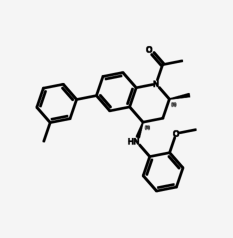 COc1ccccc1N[C@@H]1C[C@H](C)N(C(C)=O)c2ccc(-c3cccc(C)c3)cc21